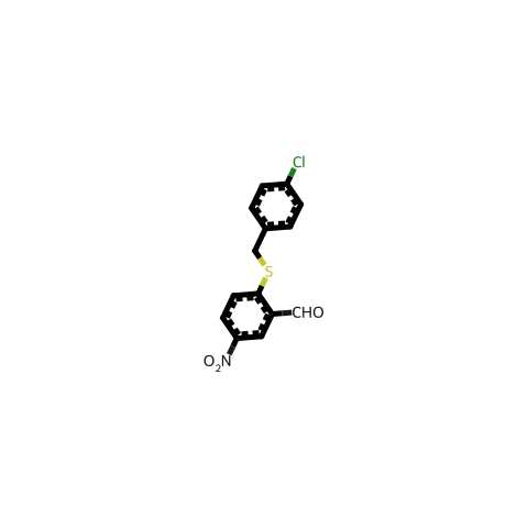 O=Cc1cc([N+](=O)[O-])ccc1SCc1ccc(Cl)cc1